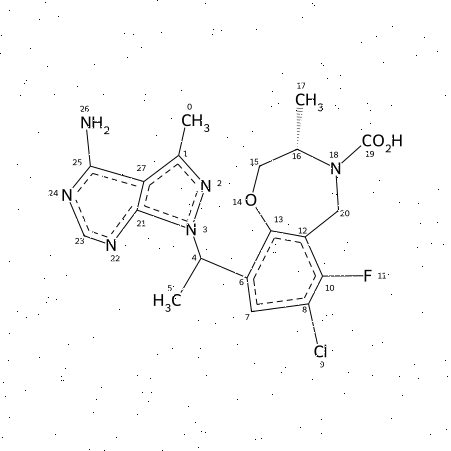 Cc1nn(C(C)c2cc(Cl)c(F)c3c2OC[C@H](C)N(C(=O)O)C3)c2ncnc(N)c12